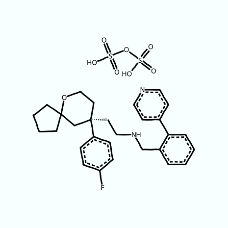 Fc1ccc([C@]2(CCNCc3ccccc3-c3ccncc3)CCOC3(CCCC3)C2)cc1.O=S(=O)(O)OS(=O)(=O)O